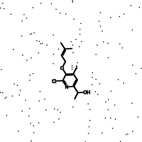 CC(C)=CCOc1c(I)cc(C(C)O)nc1Cl